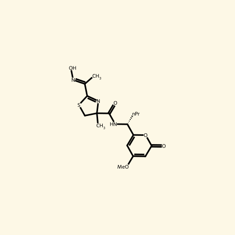 CCC[C@@H](NC(=O)C1(C)CSC(/C(C)=N/O)=N1)c1cc(OC)cc(=O)o1